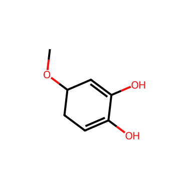 COC1C=C(O)C(O)=CC1